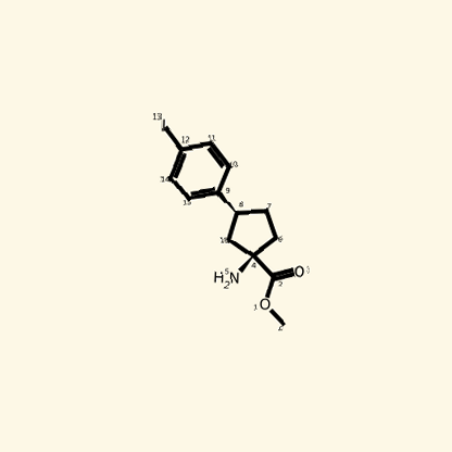 COC(=O)[C@@]1(N)CC[C@H](c2ccc(I)cc2)C1